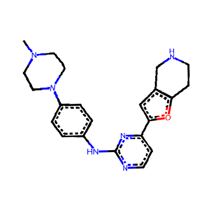 CN1CCN(c2ccc(Nc3nccc(-c4cc5c(o4)CCNC5)n3)cc2)CC1